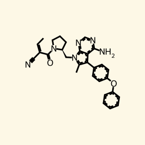 C/C=C(/C#N)C(=O)N1CCC[C@H]1Cn1c(C)c(-c2ccc(Oc3ccccc3)cc2)c2c(N)ncnc21